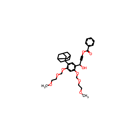 COCCOCOc1cc(OCOCCOC)c(C23CC4CC(CC(C4)C2)C3)cc1C(O)C#COC(=O)c1ccccc1